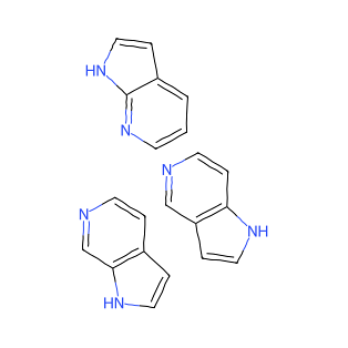 c1cc2[nH]ccc2cn1.c1cc2cc[nH]c2cn1.c1cnc2[nH]ccc2c1